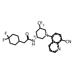 N#Cc1ccc(N2CC(C(F)(F)F)C[C@@H](NC(=O)CC3CCC(F)(F)CC3)C2)c2cccnc12